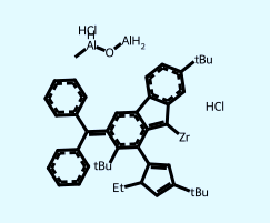 CCC1C=C(C(C)(C)C)C=C1c1c(C(C)(C)C)c(=C(c2ccccc2)c2ccccc2)cc2c1=[C]([Zr])c1cc(C(C)(C)C)ccc1-2.Cl.Cl.[CH3][AlH][O][AlH2]